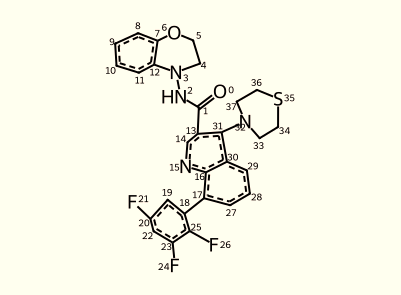 O=C(NN1CCOc2ccccc21)c1cnc2c(-c3cc(F)cc(F)c3F)cccc2c1N1CCSCC1